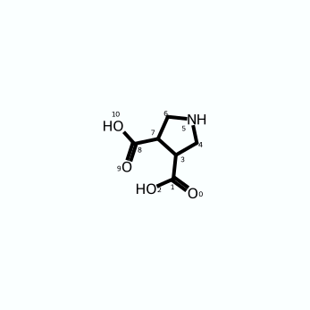 O=C(O)C1CNCC1C(=O)O